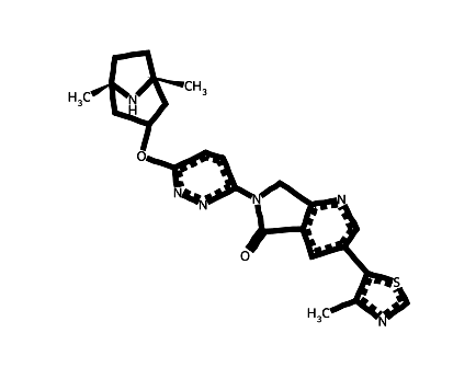 Cc1ncsc1-c1cnc2c(c1)C(=O)N(c1ccc(OC3C[C@]4(C)CC[C@](C)(C3)N4)nn1)C2